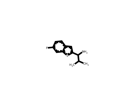 CC(C)C(N)c1cc2ccc(F)cc2s1